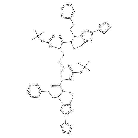 CC(C)(C)OC(=O)N[C@@H](CSSC[C@H](NC(=O)OC(C)(C)C)C(=O)N1CCn2nc(-c3cccs3)cc2C1CCc1ccccc1)C(=O)N1CCn2nc(-c3cccs3)cc2C1CCc1ccccc1